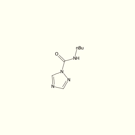 CCCCNC(=O)n1cncn1